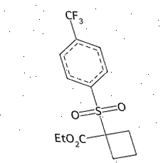 CCOC(=O)C1(S(=O)(=O)c2ccc(C(F)(F)F)cc2)CCC1